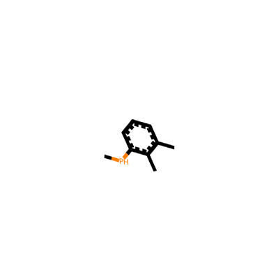 CPc1cccc(C)c1C